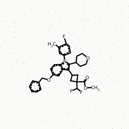 COC(=O)C1(C(F)F)CC(c2c(C3CCOCC3)n(-c3ccc(F)c(C)c3)c3ccc(OCc4ccccc4)cc23)C1